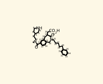 CN(CCC1CCNCC1)C(=O)c1ccc2c(c1)CC(CC(=O)O)C(=O)N(CCCCCc1ccccc1)C2